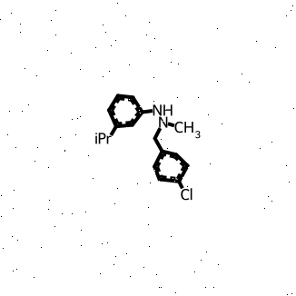 CC(C)c1cccc(NN(C)Cc2ccc(Cl)cc2)c1